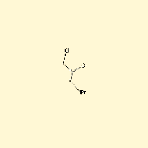 CC(C)CC([O])CCl